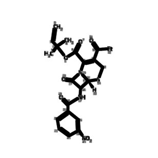 C=CC(C)(C)OC(=O)C1=C(C(=O)CC)CS[C@@H]2C(NC(=O)c3cccc([N+](=O)[O-])c3)C(=O)N12